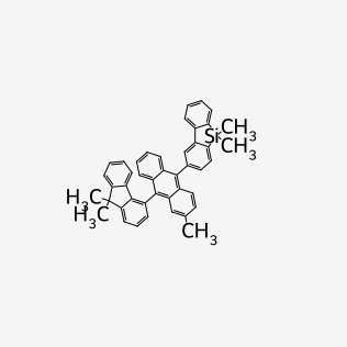 Cc1ccc2c(-c3ccc4c(c3)-c3ccccc3[Si]4(C)C)c3ccccc3c(-c3cccc4c3-c3ccccc3C4(C)C)c2c1